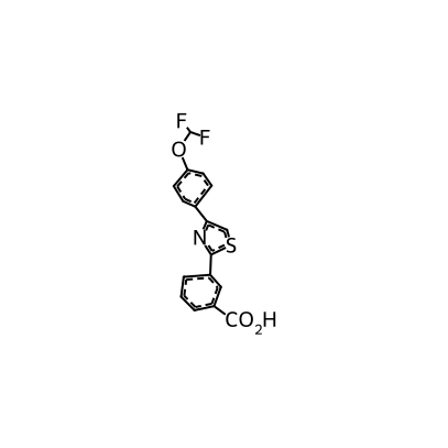 O=C(O)c1cccc(-c2nc(-c3ccc(OC(F)F)cc3)cs2)c1